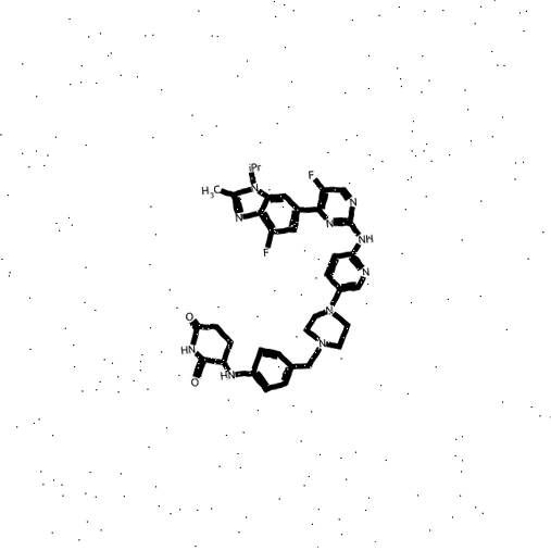 Cc1nc2c(F)cc(-c3nc(Nc4ccc(N5CCN(Cc6ccc(NC7CCC(=O)NC7=O)cc6)CC5)cn4)ncc3F)cc2n1C(C)C